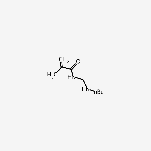 C=C(C)C(=O)NCNCCCC